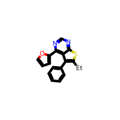 CCc1sc2ncnc(-c3ccco3)c2c1-c1ccccc1